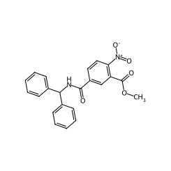 COC(=O)c1cc(C(=O)NC(c2ccccc2)c2ccccc2)ccc1[N+](=O)[O-]